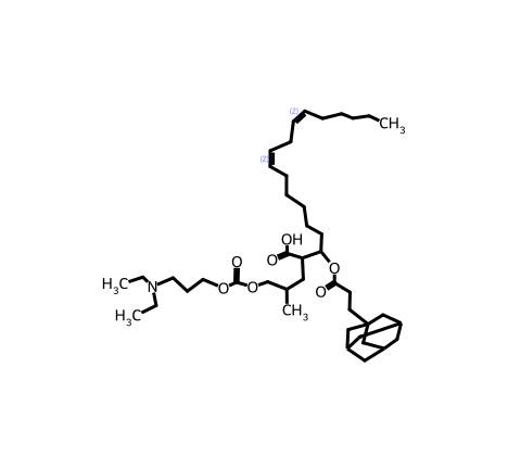 CCCCC/C=C\C/C=C\CCCCCC(OC(=O)CCC12CC3CC(CC(C3)C1)C2)C(CC(C)COC(=O)OCCCN(CC)CC)C(=O)O